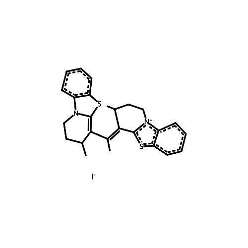 CC(C1=C2Sc3ccccc3N2CCC1C)=C1c2sc3ccccc3[n+]2CCC1C.[I-]